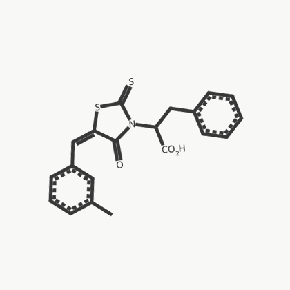 Cc1cccc(C=C2SC(=S)N(C(Cc3ccccc3)C(=O)O)C2=O)c1